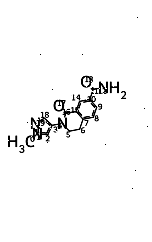 Cn1cc(N2CCc3ccc(C(N)=O)cc3C2=O)cn1